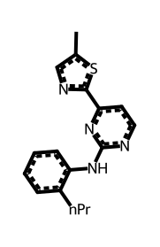 CCCc1ccccc1Nc1nccc(-c2ncc(C)s2)n1